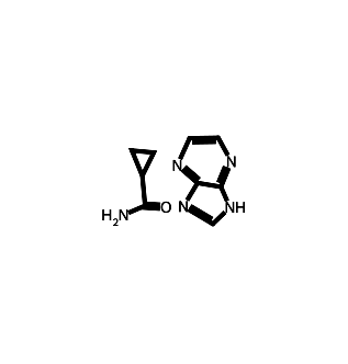 NC(=O)C1CC1.c1cnc2[nH]cnc2n1